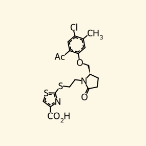 CC(=O)c1cc(Cl)c(C)cc1OC[C@H]1CCC(=O)N1CCSc1nc(C(=O)O)cs1